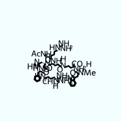 CN[C@@H](Cc1c[nH]c2ccccc12)C(=O)NC(CCCNC(=O)CCC(NC(=O)C(CCCNC(=N)N)NC(C)=O)C(=O)N[C@@H](Cc1c[nH]cn1)C(=O)NC(Cc1ccccc1)C(=O)N[C@H](C=O)CCCNC(=N)N)C(=O)O